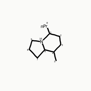 CCCC1CCC(C)C2CCCN12